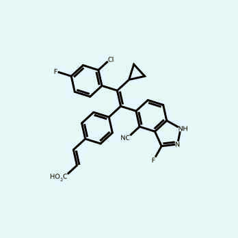 N#Cc1c(C(=C(c2ccc(F)cc2Cl)C2CC2)c2ccc(C=CC(=O)O)cc2)ccc2[nH]nc(F)c12